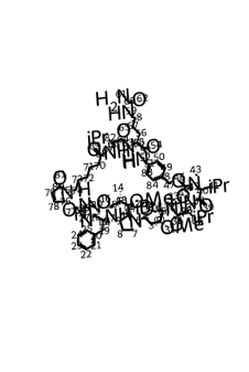 CC[C@H](C)[C@@H]([C@@H](CC(=O)N1CCCC1[C@H](OC)[C@@H](C)C(=O)N[C@@H](Cc1ccccc1)c1nn[nH]n1)OC)N(C)C(=O)[C@@H](NC(=O)C(C(C)C)N(C)C(=O)OCc1ccc(NC(=O)[C@H](CCCNC(N)=O)NC(=O)[C@@H](NC(=O)CCCCCN2C(=O)C=CC2=O)C(C)C)cc1)C(C)C